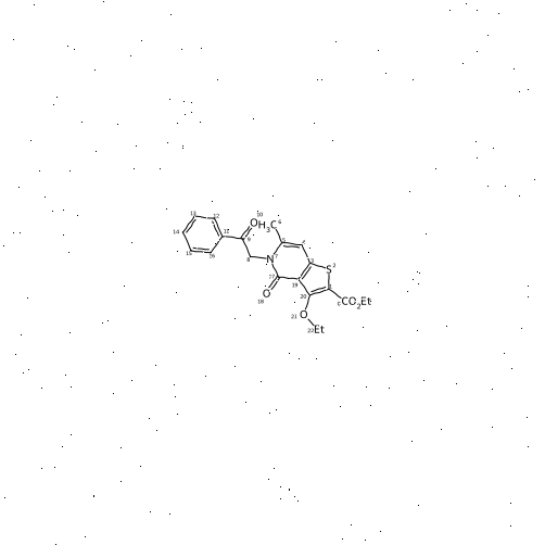 CCOC(=O)c1sc2cc(C)n(CC(=O)c3ccccc3)c(=O)c2c1OCC